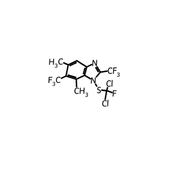 Cc1cc2nc(C(F)(F)F)n(SC(F)(Cl)Cl)c2c(C)c1C(F)(F)F